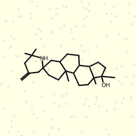 C=C1CC(C)(C)NC2(CCC3(C)C(CCC4C3CCC3(C)C4CCC3(C)O)C2)C1